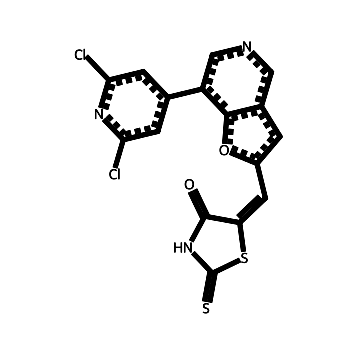 O=C1NC(=S)SC1=Cc1cc2cncc(-c3cc(Cl)nc(Cl)c3)c2o1